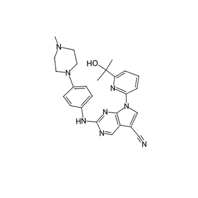 CN1CCN(c2ccc(Nc3ncc4c(C#N)cn(-c5cccc(C(C)(C)O)n5)c4n3)cc2)CC1